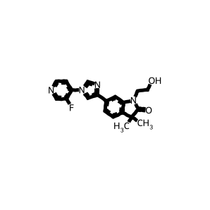 CC1(C)C(=O)N(CCO)c2cc(-c3cn(-c4ccncc4F)cn3)ccc21